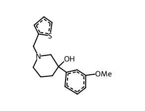 COc1cccc(C2(O)CCCN(Cc3cccs3)C2)c1